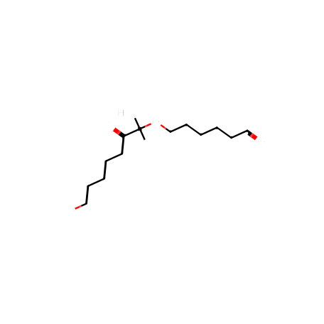 CC(C)(OCCCCCC=O)C(=O)CCCCCO